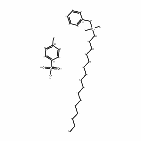 CCCCCCCCCCCCCCCC[N+](C)(C)Cc1ccccc1.Cc1ccc(S(=O)(=O)[O-])cc1